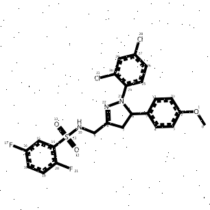 COc1ccc(C2CC(CNS(=O)(=O)c3cc(F)ccc3F)=NN2c2ccc(Cl)cc2Cl)cc1